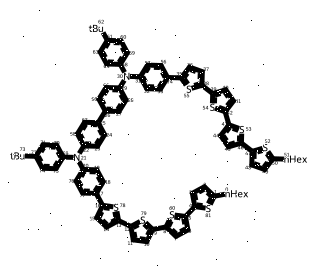 CCCCCCc1ccc(-c2ccc(-c3ccc(-c4ccc(-c5ccc(N(c6ccc(-c7ccc(N(c8ccc(-c9ccc(-c%10ccc(-c%11ccc(-c%12ccc(CCCCCC)s%12)s%11)s%10)s9)cc8)c8ccc(C(C)(C)C)cc8)cc7)cc6)c6ccc(C(C)(C)C)cc6)cc5)s4)s3)s2)s1